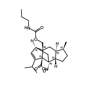 CCCNC(=O)OC[C@]12C[C@H]3[C@@H](C)CC[C@@H]3[C@]3(C=O)C[C@H]1C=C(C(C)C)[C@]23C(=O)O